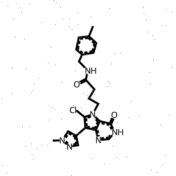 Cc1ccc(CNC(=O)CCCn2c(Cl)c(-c3cnn(C)c3)c3nc[nH]c(=O)c32)cc1